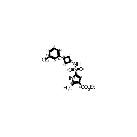 CCOC(=O)c1cc(S(=O)(=O)N[C@H]2C[C@H](c3cccc(Cl)c3)C2)[nH]c1C